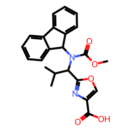 COC(=O)N(C1c2ccccc2-c2ccccc21)C(c1nc(C(=O)O)co1)C(C)C